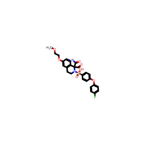 COCCOc1ccc2c(c1)CCN(S(=O)(=O)c1ccc(Oc3ccc(F)cc3)cc1)C2(C(N)=O)C(=O)O